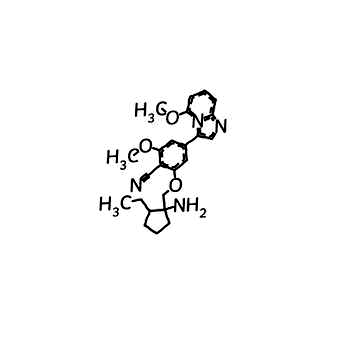 CCC1CCCC1(N)COc1cc(-c2cnc3cccc(OC)n23)cc(OC)c1C#N